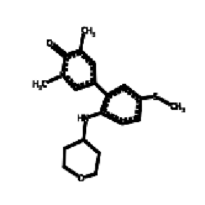 CSc1ccc(NC2CCOCC2)c(-c2cc(C)c(=O)n(C)c2)c1